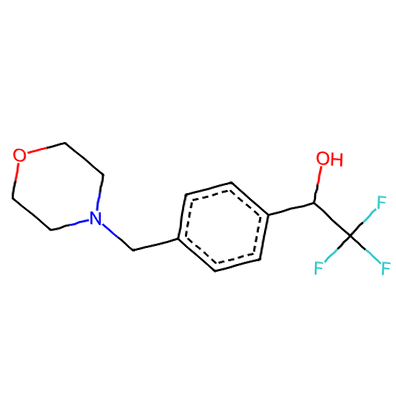 OC(c1ccc(CN2CCOCC2)cc1)C(F)(F)F